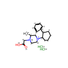 CC1CN(C2CCCCC2c2ccccc2)CCN1CC(=O)O.Cl.Cl